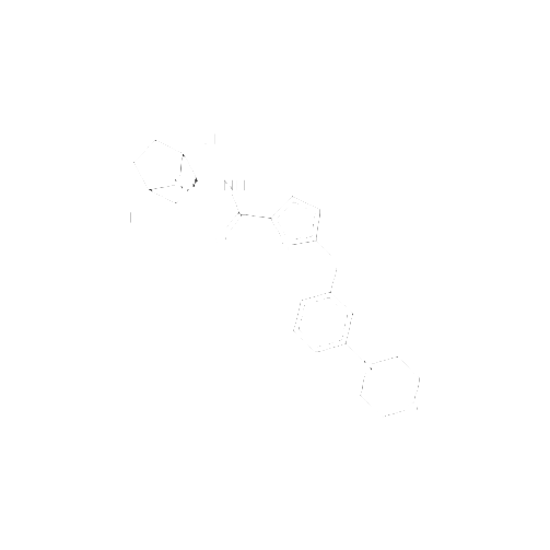 O=C(N[C@@H]1C[C@H]2CC[C@@H]1N2)c1ccc(Sc2cccc(N3CCOCC3)c2)s1